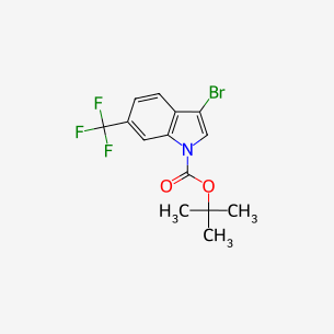 CC(C)(C)OC(=O)n1cc(Br)c2ccc(C(F)(F)F)cc21